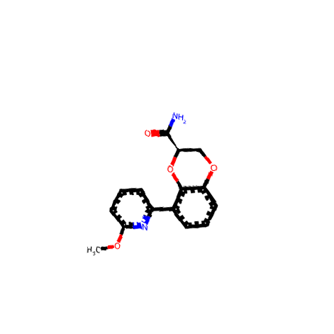 COc1cccc(-c2cccc3c2O[C@@H](C(N)=O)CO3)n1